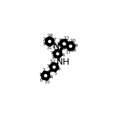 c1ccc(-c2ccc(Nc3ccc4c(c3)c3c5ccccc5ccc3n4-c3ccccc3)cc2)cc1